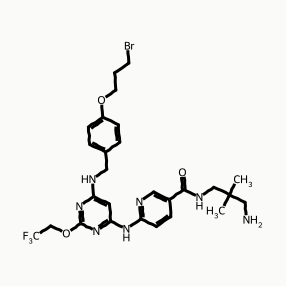 CC(C)(CN)CNC(=O)c1ccc(Nc2cc(NCc3ccc(OCCCBr)cc3)nc(OCC(F)(F)F)n2)nc1